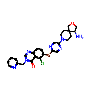 N[C@@H]1COCC12CCN(c1cnc(Sc3ccc4ncn(Cc5ccccn5)c(=O)c4c3Cl)cn1)CC2